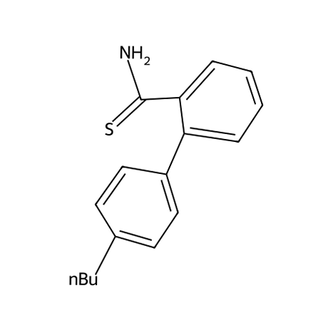 CCCCc1ccc(-c2ccccc2C(N)=S)cc1